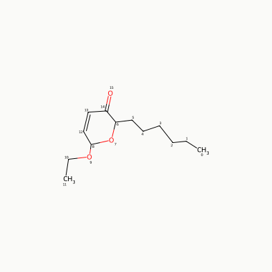 CCCCCCC1OC(OCC)C=CC1=O